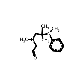 CN(CC=O)CC(C)(C)N(C)c1ccccc1